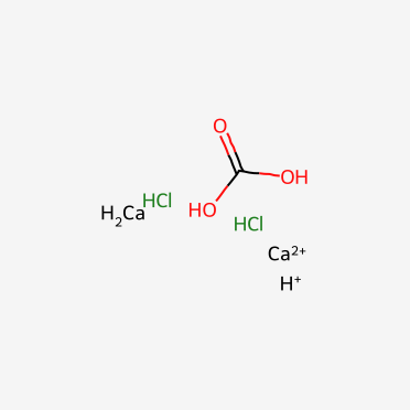 Cl.Cl.O=C(O)O.[Ca+2].[CaH2].[H+]